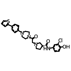 O=C(Nc1ccc(O)c(Cl)c1)[C@@H]1CCN(CC(=O)N2CCN(c3ccc(-c4cccs4)cc3)CC2)C1